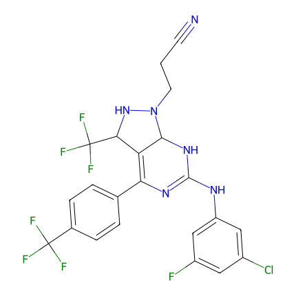 N#CCCN1NC(C(F)(F)F)C2=C(c3ccc(C(F)(F)F)cc3)N=C(Nc3cc(F)cc(Cl)c3)NC21